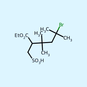 CCOC(=O)C(CS(=O)(=O)O)C(C)(C)CC(C)(C)Br